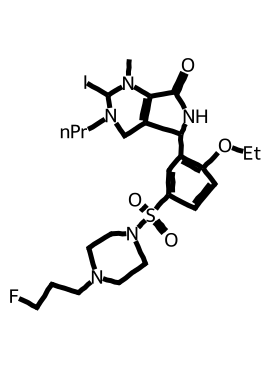 CCCN1CC2=C(C(=O)NC2c2cc(S(=O)(=O)N3CCN(CCCF)CC3)ccc2OCC)N(C)C1I